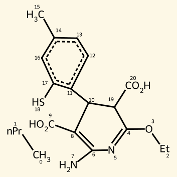 CCCC.CCOC1=NC(N)=C(C(=O)O)C(c2ccc(C)cc2S)C1C(=O)O